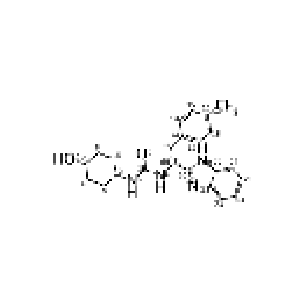 O=C(NC1CCC(O)CC1)N[C@H](Cc1ccc(C(F)(F)F)cc1)c1nc2ccccc2[nH]1